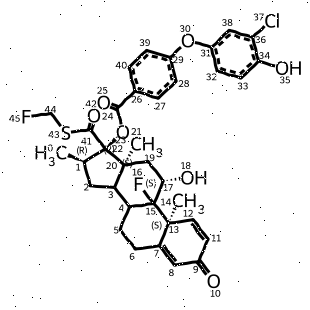 C[C@@H]1CC2C3CCC4=CC(=O)C=C[C@]4(C)C3(F)[C@@H](O)C[C@]2(C)[C@@]1(OC(=O)c1ccc(Oc2ccc(O)c(Cl)c2)cc1)C(=O)SCF